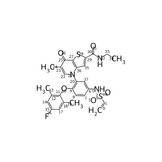 C=CS(=O)(=O)Nc1ccc(Oc2c(C)cc(F)cc2C)c(-n2cc(C)c(=O)c3sc(C(=O)NCC)cc32)c1